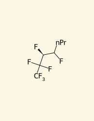 [CH2]CCC(F)[C@H](F)C(F)(F)C(F)(F)F